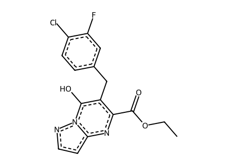 CCOC(=O)c1nc2ccnn2c(O)c1Cc1ccc(Cl)c(F)c1